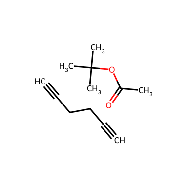 C#CCCC#C.CC(=O)OC(C)(C)C